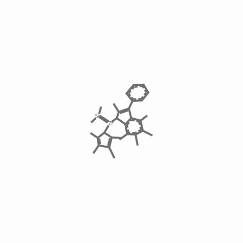 CC1=C(C)[CH]([Zr]([CH]2C(C)=C(c3ccccc3)c3c(C)c(C)c(C)c(C)c32)=[Si](C)C)C(C)=C1C